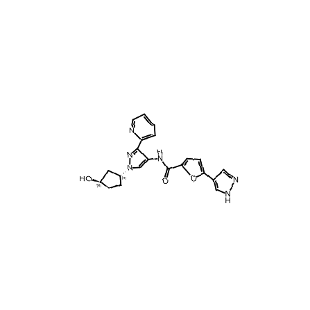 O=C(Nc1cn([C@@H]2CC[C@@H](O)C2)nc1-c1ccccn1)c1ccc(-c2cn[nH]c2)o1